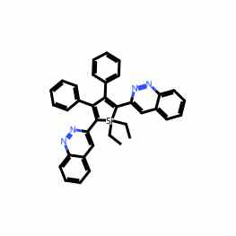 CC[Si]1(CC)C(c2cc3ccccc3nn2)=C(c2ccccc2)C(c2ccccc2)=C1c1cc2ccccc2nn1